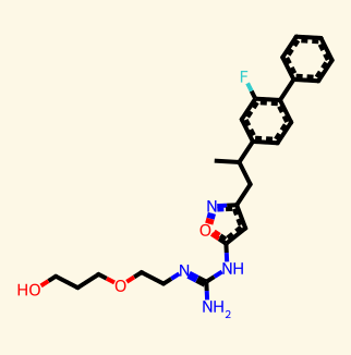 CC(Cc1cc(NC(N)=NCCOCCCO)on1)c1ccc(-c2ccccc2)c(F)c1